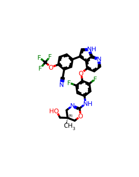 C[C@]1(CO)CN=C(Nc2cc(F)c(Oc3ccnc4[nH]cc(-c5ccc(OC(F)(F)F)c(C#N)c5)c34)c(F)c2)OC1